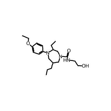 CCCC1CN(C(=O)NCCO)CC(CC)N(c2ccc(OCC)cc2)C1